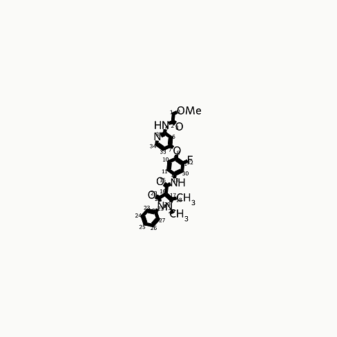 COCC(=O)Nc1cc(Oc2ccc(NC(=O)c3c(C)n(C)n(-c4ccccc4)c3=O)cc2F)ccn1